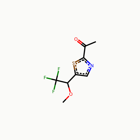 COC(c1cnc(C(C)=O)s1)C(F)(F)F